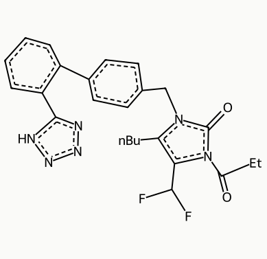 CCCCc1c(C(F)F)n(C(=O)CC)c(=O)n1Cc1ccc(-c2ccccc2-c2nnn[nH]2)cc1